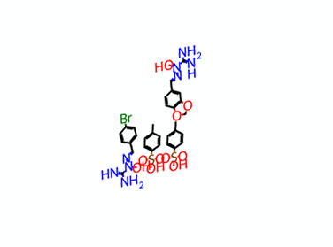 Cc1ccc(S(=O)(=O)O)cc1.Cc1ccc(S(=O)(=O)O)cc1.N=C(N)N(O)N=Cc1ccc(Br)cc1.N=C(N)N(O)N=Cc1ccc2c(c1)OCO2